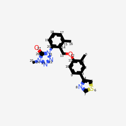 Cc1cc(-c2cscn2)ccc1OCc1c(C)cccc1-n1nnn(C)c1=O